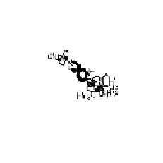 CC(C)(C)OC(=O)N1CCC2(CCC(B3OC(C)(C)C(C)(C)O3)=C(F)C2)CC1